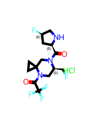 Cl.O=C([C@H]1C[C@@H](F)CN1)N1CC2(CC2)N(C(=O)C(F)(F)F)C[C@@H]1CF